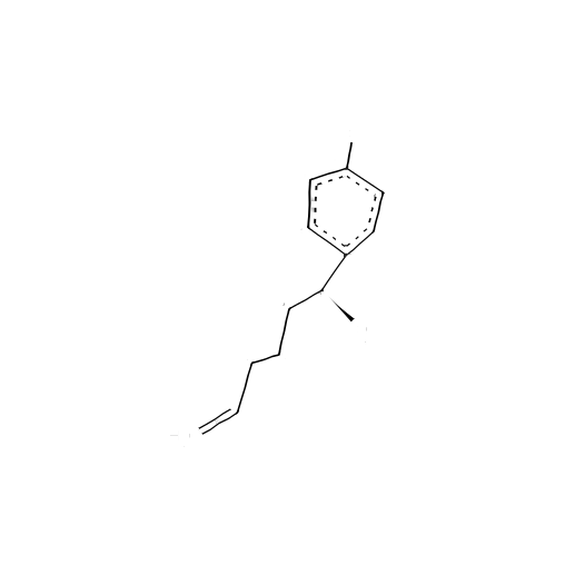 C=CCCC[C@H](O)c1ccc(C)cc1